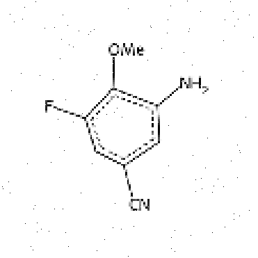 COc1c(N)cc(C#N)cc1F